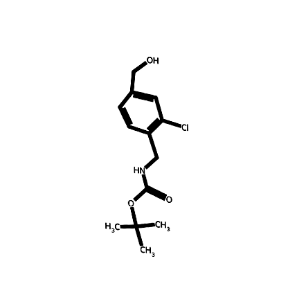 CC(C)(C)OC(=O)NCc1ccc(CO)cc1Cl